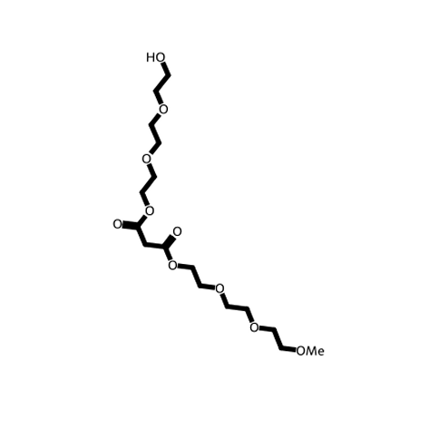 COCCOCCOCCOC(=O)CC(=O)OCCOCCOCCO